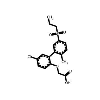 CCCS(=O)(=O)c1ccc(C)c(-c2cc(Cl)ccc2OCC(=O)O)c1